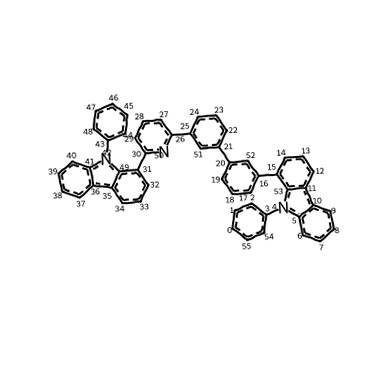 c1ccc(-n2c3ccccc3c3cccc(-c4cccc(-c5cccc(-c6cccc(-c7cccc8c9ccccc9n(-c9ccccc9)c78)n6)c5)c4)c32)cc1